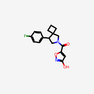 O=C(c1cc(O)no1)N1CC(c2ccc(F)cc2)C2(CCC2)C1